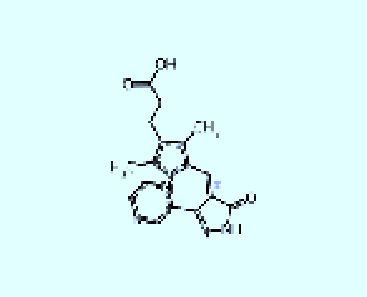 Cc1[nH]c(/C=C2/C(=O)NN=C2c2cnccn2)c(C)c1CCC(=O)O